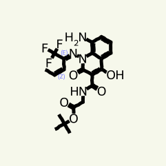 C/C=C\C(=N/n1c(=O)c(C(=O)NCC(=O)OC(C)(C)C)c(O)c2cccc(N)c21)C(F)(F)F